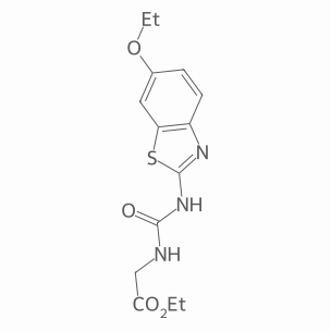 CCOC(=O)CNC(=O)Nc1nc2ccc(OCC)cc2s1